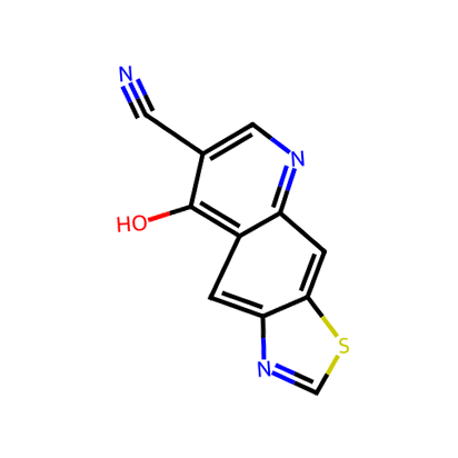 N#Cc1cnc2cc3scnc3cc2c1O